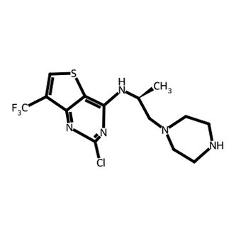 C[C@@H](CN1CCNCC1)Nc1nc(Cl)nc2c(C(F)(F)F)csc12